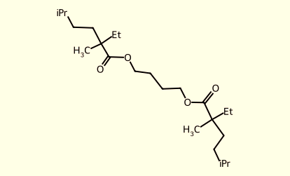 CCC(C)(CCC(C)C)C(=O)OCCCCOC(=O)C(C)(CC)CCC(C)C